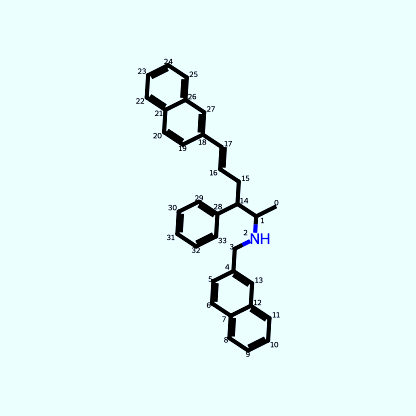 CC(NCc1ccc2ccccc2c1)C(C/C=C/c1ccc2ccccc2c1)c1ccccc1